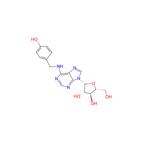 OC[C@H]1O[C@@H](n2cnc3c(NCc4ccc(O)cc4)ncnc32)[C@@H](O)[C@@H]1O